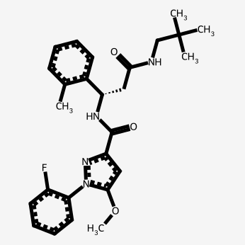 COc1cc(C(=O)N[C@@H](CC(=O)NCC(C)(C)C)c2ccccc2C)nn1-c1ccccc1F